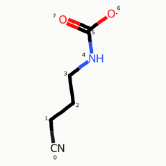 N#CCCCNC([O])=O